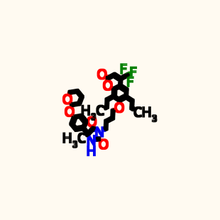 CCCc1cc2c(C(F)(F)F)cc(=O)oc2c(CCC)c1OCCCCN1C(=O)NC(C)(c2ccc(OC3CCCCO3)cc2)C1=O